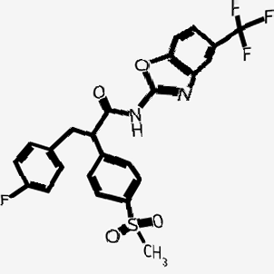 CS(=O)(=O)c1ccc(C(Cc2ccc(F)cc2)C(=O)Nc2nc3cc(C(F)(F)F)ccc3o2)cc1